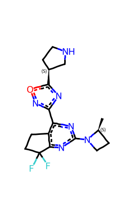 C[C@H]1CCN1c1nc(-c2noc([C@H]3CCNC3)n2)c2c(n1)C(F)(F)CC2